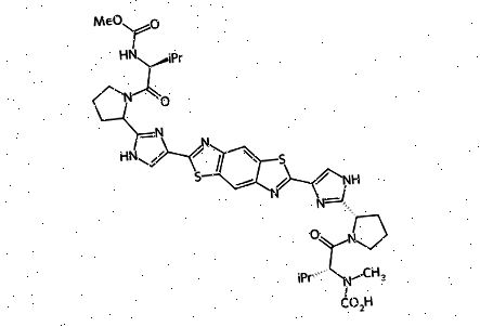 COC(=O)N[C@H](C(=O)N1CCCC1c1nc(-c2nc3cc4sc(-c5c[nH]c([C@@H]6CCCN6C(=O)[C@@H](C(C)C)N(C)C(=O)O)n5)nc4cc3s2)c[nH]1)C(C)C